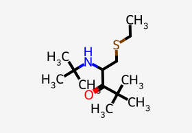 CCSCC(NC(C)(C)C)C(=O)C(C)(C)C